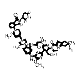 C=CC(=O)Nc1cc(Nc2nc(-c3ccnc(N4CCn5c(cc6c5CC(C)(C)C6)C4=O)c3CO)cnc2OC)ccc1N1CCN(C2CCN(c3cccc4c3C(=O)N(C3CCC(=O)NC3=O)C4=O)[C@@H](C)C2)C[C@@H]1C